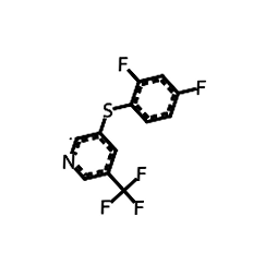 Fc1ccc(Sc2[c]ncc(C(F)(F)F)c2)c(F)c1